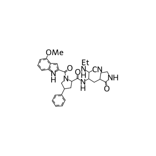 CCNC(C#N)C(CC1CCNC1=O)NC(=O)C1CC(c2ccccc2)CN1C(=O)c1cc2c(OC)cccc2[nH]1